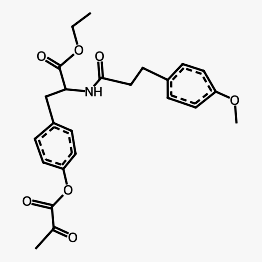 CCOC(=O)C(Cc1ccc(OC(=O)C(C)=O)cc1)NC(=O)CCc1ccc(OC)cc1